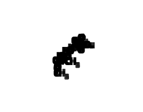 Cc1ccc([S+]([O-])n2cc(C)c3c(Oc4ccc(CC(NC(=O)OC(C)(C)C)C(=O)Nc5ccccc5)cc4F)ccnc32)cc1